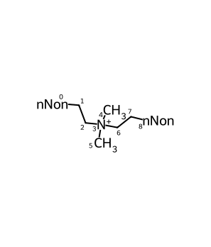 CCCCCCCCCCC[N+](C)(C)CCCCCCCCCCC